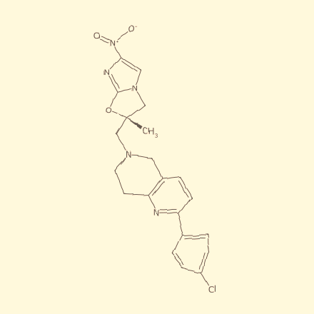 C[C@]1(CN2CCc3nc(-c4ccc(Cl)cc4)ccc3C2)Cn2cc([N+](=O)[O-])nc2O1